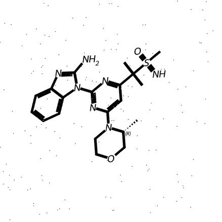 C[C@@H]1COCCN1c1cc(C(C)(C)S(C)(=N)=O)nc(-n2c(N)nc3ccccc32)n1